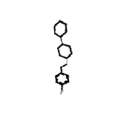 Fc1ccc(CC[C@H]2CC[C@H](C3CC[CH]CC3)CC2)cc1